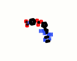 O=C(Oc1ccc([N+](=O)[O-])cc1)O[C@@H]1CC[C@H](c2cc(Nc3cnccn3)n[nH]2)C1